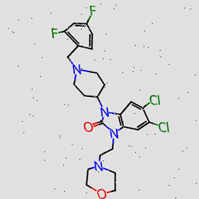 O=c1n(CCN2CCOCC2)c2cc(Cl)c(Cl)cc2n1C1CCN(Cc2ccc(F)cc2F)CC1